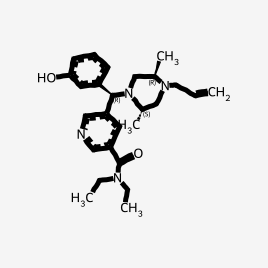 C=CCN1C[C@H](C)N([C@H](c2cccc(O)c2)c2cncc(C(=O)N(CC)CC)c2)C[C@H]1C